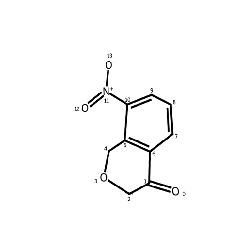 O=C1[CH]OCc2c1cccc2[N+](=O)[O-]